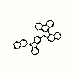 c1ccc2cc(-n3c4ccccc4c4cc(-n5c6ccc7ccccc7c6c6c7ccccc7c7ccccc7c65)ccc43)ccc2c1